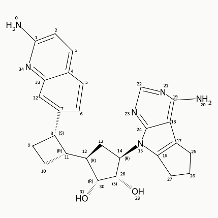 Nc1ccc2ccc([C@H]3CC[C@H]3[C@H]3C[C@@H](n4c5c(c6c(N)ncnc64)CCC5)[C@H](O)[C@@H]3O)cc2n1